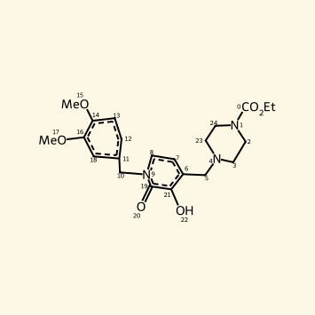 CCOC(=O)N1CCN(Cc2ccn(Cc3ccc(OC)c(OC)c3)c(=O)c2O)CC1